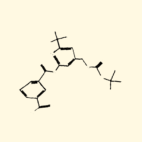 CC(C)(C)OC(=O)NCc1cc(NC(=O)c2cccc(C(=O)O)c2)nc(C(F)(F)F)c1